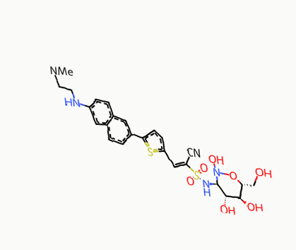 CNCCNc1ccc2cc(-c3ccc(/C=C(\C#N)S(=O)(=O)N[C@@H]4[C@@H](O)[C@H](O)[C@@H](CO)ON4O)s3)ccc2c1